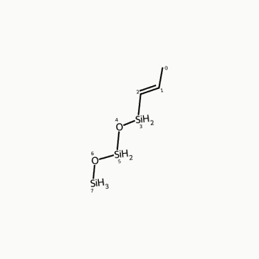 CC=C[SiH2]O[SiH2]O[SiH3]